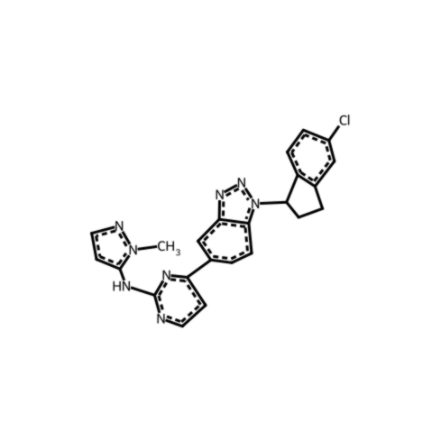 Cn1nccc1Nc1nccc(-c2ccc3c(c2)nnn3C2CCc3cc(Cl)ccc32)n1